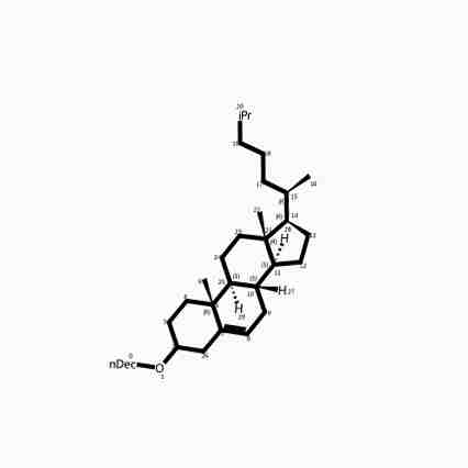 CCCCCCCCCCOC1CC[C@@]2(C)C(=CC[C@H]3[C@@H]4CC[C@H]([C@H](C)CCCC(C)C)[C@@]4(C)CC[C@@H]32)C1